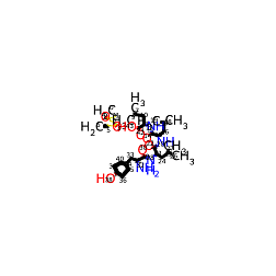 C=CS(=O)(=O)C=C.CC(C)CC(NC(=O)C(CC(C)C)NC(=O)C(CC(C)C)NC(=O)C(N)Cc1ccc(O)cc1)C(=O)O